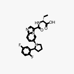 CC[C@@H](NC(=O)c1cnc2ccc(N3CCCC3c3cc(F)ccc3F)cn12)C(=O)O